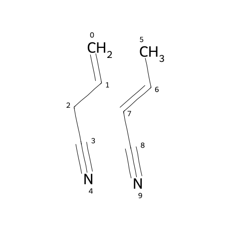 C=CCC#N.CC=CC#N